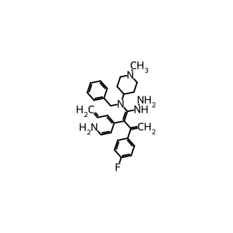 C=C/C=C(\C=C/N)C(/C(=C)c1ccc(F)cc1)=C(/NN)N(Cc1ccccc1)C1CCN(C)CC1